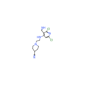 N#CC1CCN(CCNc2cc(Cl)nc(Cl)c2C=N)CC1